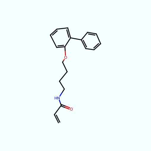 C=CC(=O)NCCCCOc1ccccc1-c1ccccc1